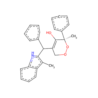 Cc1c(C(C2=C(O)[C@@](C)(c3ccccc3)OOC2)c2ccccc2)[nH]c2ccccc12